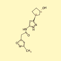 Cc1cc(CC(=O)Nc2cc([C@H]3CC[C@H](O)C3)n[nH]2)on1